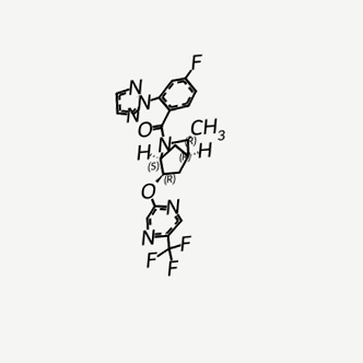 C[C@@H]1[C@H]2C[C@@H](Oc3cnc(C(F)(F)F)cn3)[C@H](C2)N1C(=O)c1ccc(F)cc1-n1nccn1